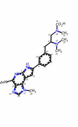 CNc1nc2[nH]c(-c3cccc(CC(CN(C)C(=O)O)N(C)C)c3)cc2c2c1ncn2C